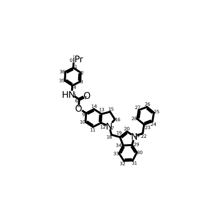 CC(C)c1ccc(NC(=O)Oc2ccc3c(c2)CCN3Cc2cn(Cc3ccccc3)c3ccccc23)cc1